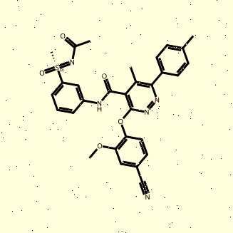 COc1cc(C#N)ccc1Oc1nnc(-c2ccc(C)cc2)c(C)c1C(=O)Nc1cccc([S@@](C)(=O)=NC(C)=O)c1